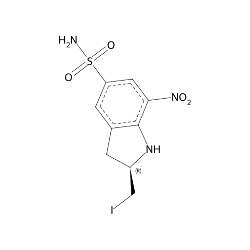 NS(=O)(=O)c1cc2c(c([N+](=O)[O-])c1)N[C@@H](CI)C2